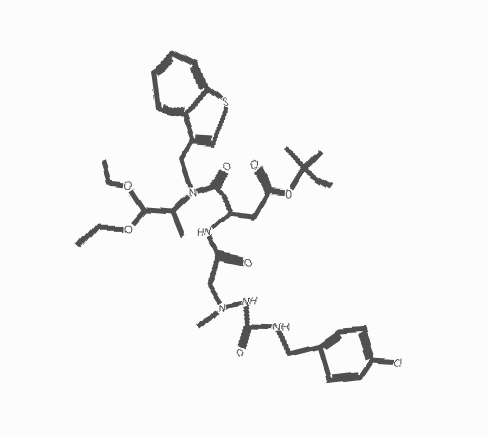 CCOC(OCC)C(C)N(Cc1csc2ccccc12)C(=O)C(CC(=O)OC(C)(C)C)NC(=O)CN(C)NC(=O)NCc1ccc(Cl)cc1